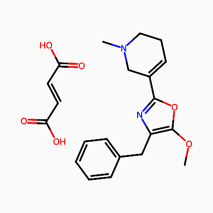 COc1oc(C2=CCCN(C)C2)nc1Cc1ccccc1.O=C(O)C=CC(=O)O